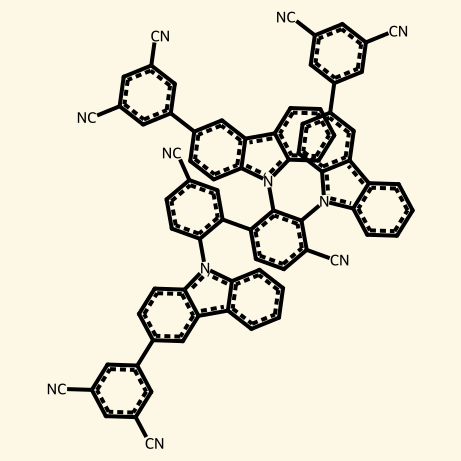 N#Cc1cc(C#N)cc(-c2ccc3c(c2)c2ccccc2n3-c2ccc(C#N)cc2-c2ccc(C#N)c(-n3c4ccccc4c4cc(-c5cc(C#N)cc(C#N)c5)ccc43)c2-n2c3ccccc3c3cc(-c4cc(C#N)cc(C#N)c4)ccc32)c1